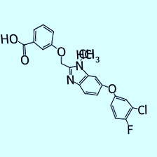 Cl.Cn1c(COc2cccc(C(=O)O)c2)nc2ccc(Oc3ccc(F)c(Cl)c3)cc21